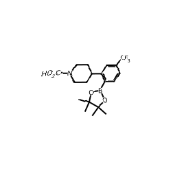 CC1(C)OB(c2ccc(C(F)(F)F)cc2C2CCN(C(=O)O)CC2)OC1(C)C